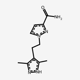 Cc1n[nH]c(C)c1CCn1c[c]c(C(N)=O)n1